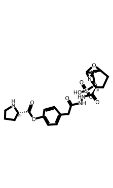 O=C(Cc1ccc(OC(=O)[C@@H]2CCCN2)cc1)NNC(=O)[C@@H]1CCC23CN1C(O2)N3OS(=O)(=O)O